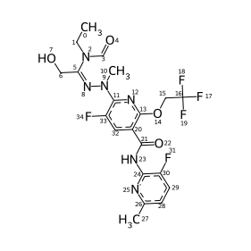 CCN(C=O)/C(CO)=N\N(C)c1nc(OCC(F)(F)F)c(C(=O)Nc2nc(C)ccc2F)cc1F